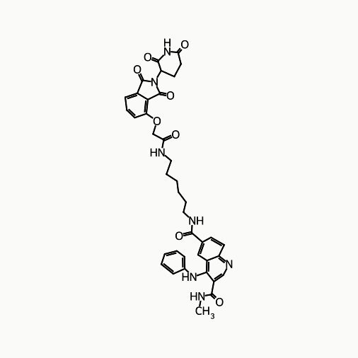 CNC(=O)c1cnc2ccc(C(=O)NCCCCCCNC(=O)COc3cccc4c3C(=O)N(C3CCC(=O)NC3=O)C4=O)cc2c1Nc1ccccc1